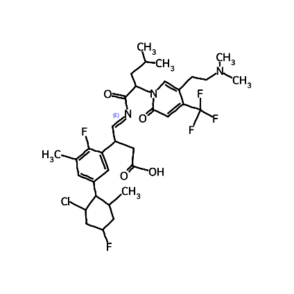 Cc1cc(C2C(C)CC(F)CC2Cl)cc(C(/C=N/C(=O)C(CC(C)C)n2cc(CCN(C)C)c(C(F)(F)F)cc2=O)CC(=O)O)c1F